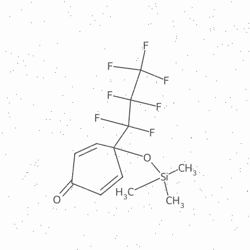 C[Si](C)(C)OC1(C(F)(F)C(F)(F)C(F)(F)F)C=CC(=O)C=C1